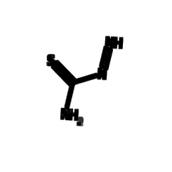 N=NC(N)=S